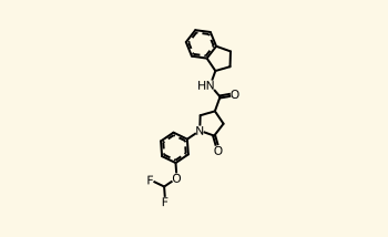 O=C(NC1CCc2ccccc21)C1CC(=O)N(c2cccc(OC(F)F)c2)C1